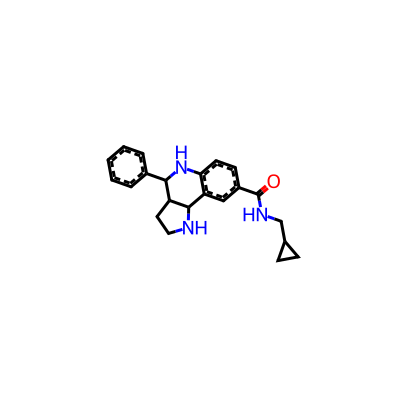 O=C(NCC1CC1)c1ccc2c(c1)C1NCCC1C(c1ccccc1)N2